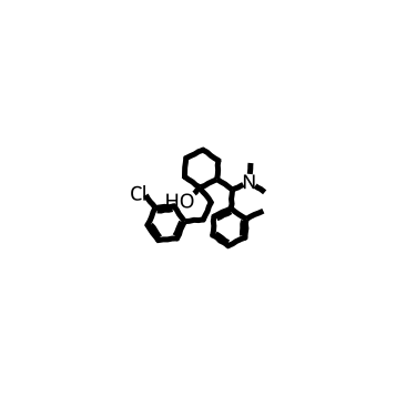 Cc1ccccc1C(C1CCCCC1(O)CCc1cccc(Cl)c1)N(C)C